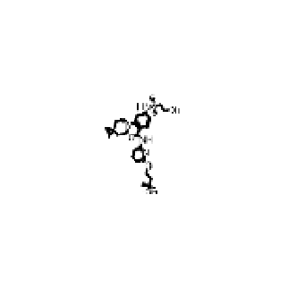 CC(C)(O)CCOc1cccc(NC(=O)c2ccc(NS(=O)(=O)CCO)cc2N2CCC3(CC2)CC3)n1